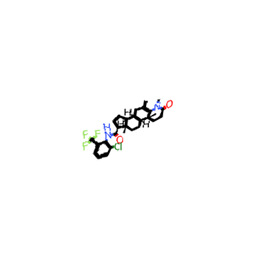 CC1=C2N(C)C(=O)CC[C@]2(C)[C@H]2CC[C@]3(C)[C@@H](C(=O)Nc4c(Cl)cccc4C(F)(F)F)CC[C@H]3[C@@H]2C1